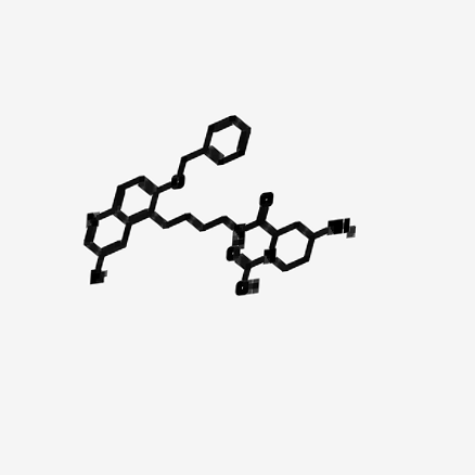 NC1CCN(C(=O)O)C(C(=O)NCCCCc2c(OCc3ccccc3)ccc3ncc(Br)cc23)C1